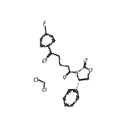 ClCCl.O=C(CCCC(=O)N1C(=O)OC[C@@H]1c1ccccc1)c1ccc(F)cc1